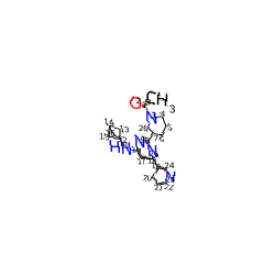 CC(=O)N1CCCC(c2nc(NC34CC(C3)C4)cc(-c3cccnc3)n2)C1